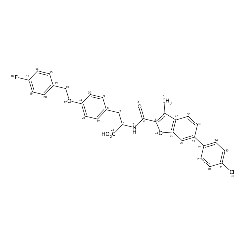 Cc1c(C(=O)NC(Cc2ccc(OCc3ccc(F)cc3)cc2)C(=O)O)oc2cc(-c3ccc(Cl)cc3)ccc12